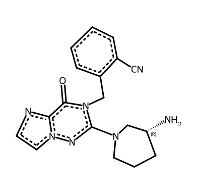 N#Cc1ccccc1Cn1c(N2CCC[C@@H](N)C2)nn2ccnc2c1=O